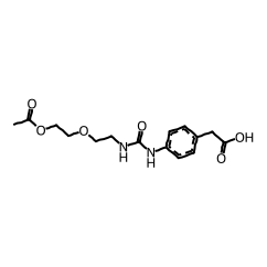 CC(=O)OCCOCCNC(=O)Nc1ccc(CC(=O)O)cc1